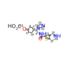 O=C(O)COc1ccc(C(CNC(=O)c2cc3c(s2)CCNC3)n2ccnc2)cc1